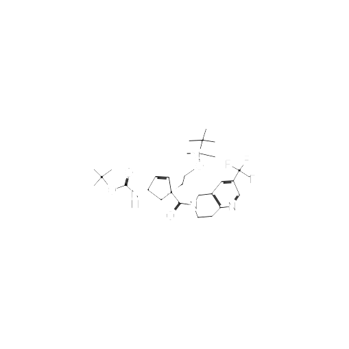 CC(C)(C)OC(=O)N[C@@H]1C=C[C@](CCO[Si](C)(C)C(C)(C)C)(C(=O)N2CCc3ncc(C(F)(F)F)cc3C2)C1